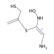 C=C(CS)S/C(=C\N)NO